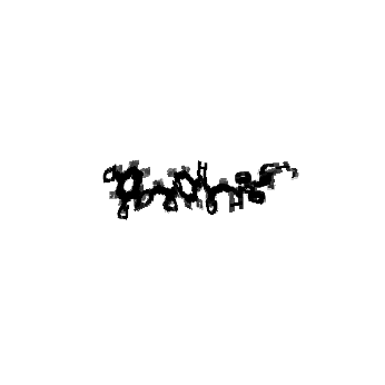 C=CS(=O)(=O)NCC(=O)NC1CCN(C(=O)COc2ccc(Cl)cc2Cl)CC1